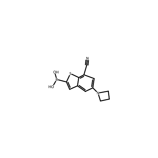 N#Cc1cc(N2CCC2)cc2cc(B(O)O)sc12